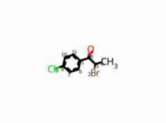 CC(Br)C(=O)c1ccc(Cl)cc1